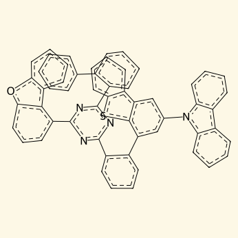 c1ccc(-c2ccccc2-c2nc(-c3ccccc3-c3cc(-n4c5ccccc5c5ccccc54)cc4c3sc3ccccc34)nc(-c3cccc4oc5ccccc5c34)n2)cc1